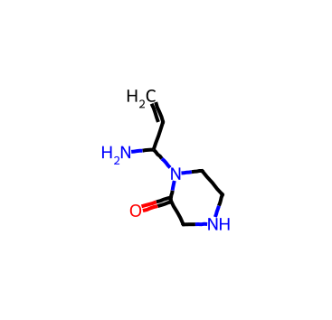 C=CC(N)N1CCNCC1=O